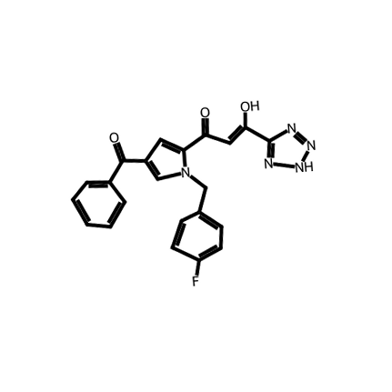 O=C(c1ccccc1)c1cc(C(=O)C=C(O)c2nn[nH]n2)n(Cc2ccc(F)cc2)c1